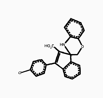 O=C(O)C1=C(c2ccc(Cl)cc2)c2ccccc2C12COc1ccccc1N2